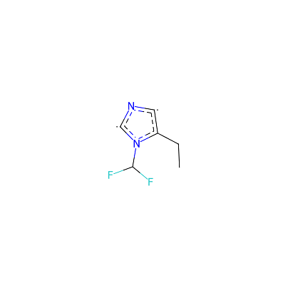 CCc1[c]n[c]n1C(F)F